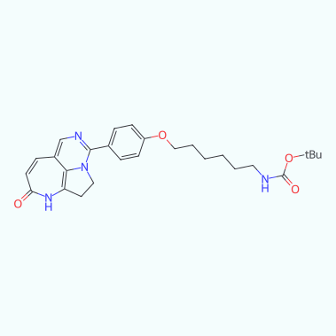 CC(C)(C)OC(=O)NCCCCCCOc1ccc(C2=NC=C3C=CC(=O)NC4=C3N2CC4)cc1